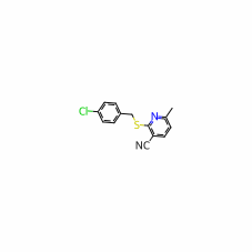 Cc1ccc(C#N)c(SCc2ccc(Cl)cc2)n1